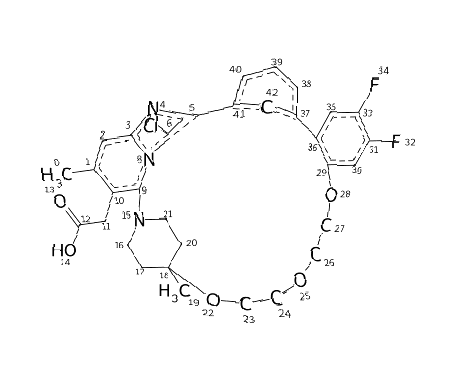 Cc1cc2nc3c(Cl)n2c(c1CC(=O)O)N1CCC(C)(CC1)OCCOCCOc1cc(F)c(F)cc1-c1cccc-3c1